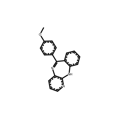 COc1ccc(C2=Nc3cccnc3Nc3ccccc32)cc1